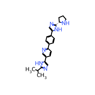 CC(C)c1ncc(-c2ccc(-c3ccc(-c4cnc([C@@H]5CCCN5)[nH]4)cc3)nc2)[nH]1